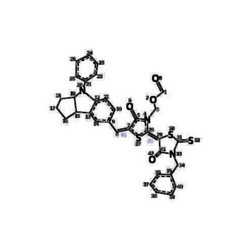 O=COCn1c(=O)/c(=C\c2ccc3c(c2)C2CCCC2N3c2ccccc2)s/c1=C1/SC(=S)N(Cc2ccccc2)C1=O